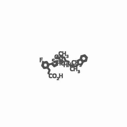 CN(CC(O)CNC(C)(C)CC1Cc2ccccc2C1)S(=O)(=O)c1ccc(-c2cc(F)ccc2CCC(=O)O)s1